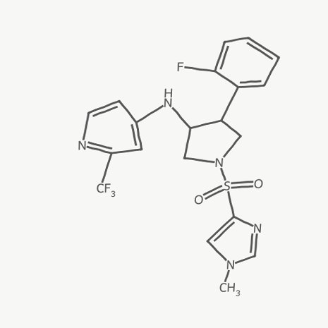 Cn1cnc(S(=O)(=O)N2CC(Nc3ccnc(C(F)(F)F)c3)C(c3ccccc3F)C2)c1